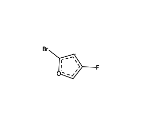 Fc1[c]c(Br)oc1